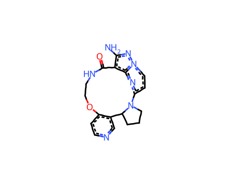 Nc1nn2ccc3nc2c1C(=O)NCCOc1ccncc1C1CCCN31